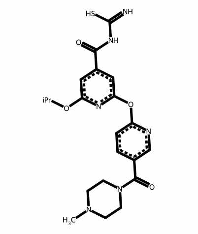 CC(C)Oc1cc(C(=O)NC(=N)S)cc(Oc2ccc(C(=O)N3CCN(C)CC3)cn2)n1